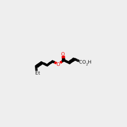 CC/C=C\CCOC(=O)/C=C/C(=O)O